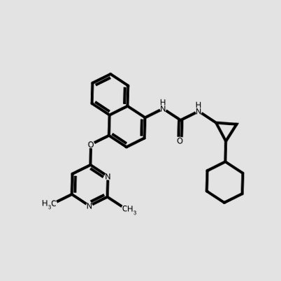 Cc1cc(Oc2ccc(NC(=O)NC3CC3C3CCCCC3)c3ccccc23)nc(C)n1